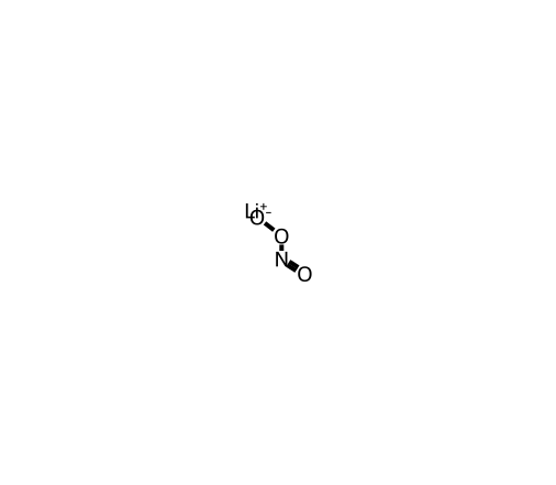 O=NO[O-].[Li+]